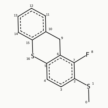 CSc1ccc2c(c1F)Cc1ccccc1S2